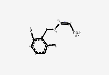 Cc1cccc(F)c1CO/N=C\C(=O)O